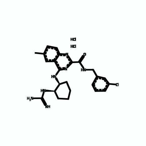 Cc1ccc2nc(C(=O)NCc3cccc(Cl)c3)nc(N[C@H]3CCCC[C@H]3NC(=N)N)c2c1.Cl.Cl